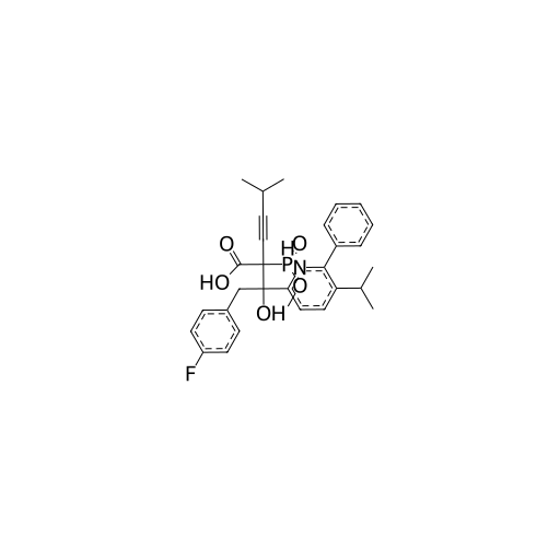 CO[PH](=O)C(C#CC(C)C)(C(=O)O)C(O)(Cc1ccc(F)cc1)c1ccc(C(C)C)c(-c2ccccc2)n1